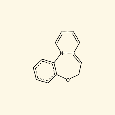 C1=CC2=CCOc3ccccc3N2C=C1